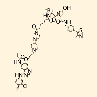 C=CC(=O)Nc1cc2c(Nc3ccc(F)c(Cl)c3)ncnc2cc1OCCCN1CCC(N2CCN(C(=O)CCCCC(=O)NC(C(=O)N3C[C@H](O)C[C@H]3C(=O)NCc3ccc(-c4scnc4C)cc3)C(C)(C)C)CC2)CC1